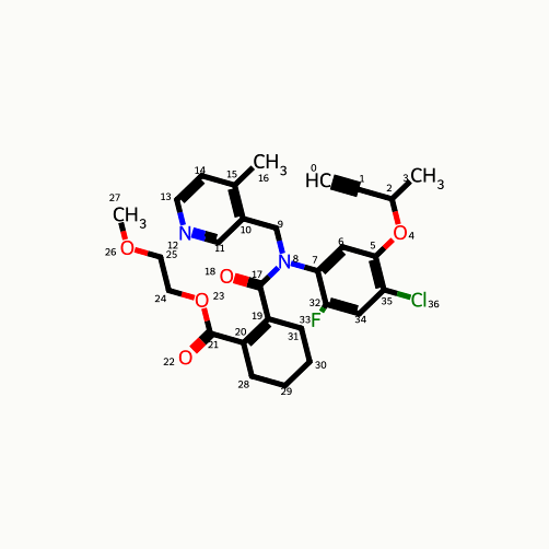 C#CC(C)Oc1cc(N(Cc2cnccc2C)C(=O)C2=C(C(=O)OCCOC)CCCC2)c(F)cc1Cl